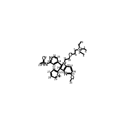 CC[Si](CC)(CC)CCOCCn1c(-c2ccnc(NC(C)=O)c2)c(-c2ccccn2)c2nc(OC)ccc21